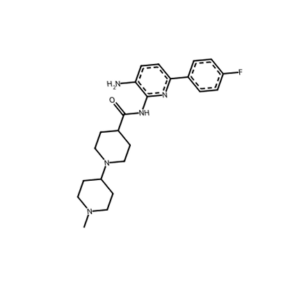 CN1CCC(N2CCC(C(=O)Nc3nc(-c4ccc(F)cc4)ccc3N)CC2)CC1